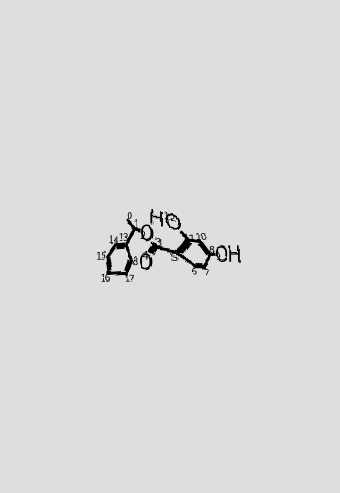 CC(OC(=O)c1ccc(O)cc1O)c1ccccc1